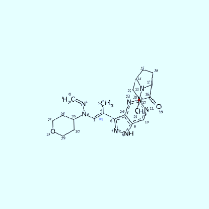 C=NN(/C=C(\C)c1n[nH]c2cnc(N3C4CCC3C(=O)N(C)C4)nc12)C1CCOCC1